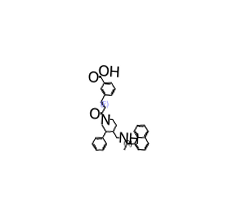 C[C@@H](NCC1CCN(C(=O)/C=C/c2cccc(C(=O)O)c2)CC1c1ccccc1)c1cccc2ccccc12